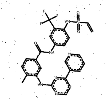 C=CS(=O)(=O)Nc1ccc(NC(=O)c2ccc(C)c(Nc3nccc(-c4cccnc4)n3)c2)cc1C(F)(F)F